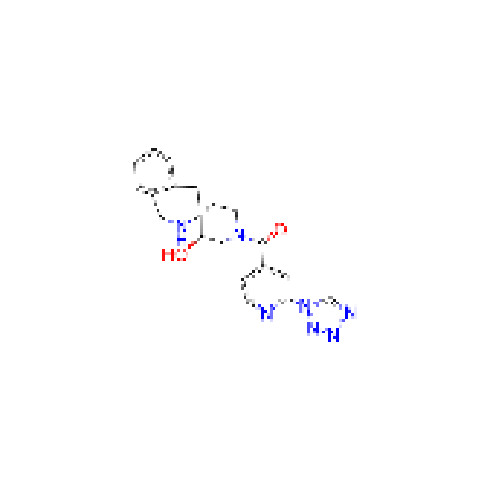 O=C(c1ccnc(-n2cnnn2)c1)N1CC[C@]2(Cc3ccccc3CN2)[C@H](O)C1